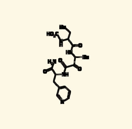 CCC(C)CC(NC(=O)O)C(=O)NC(C(=O)C(=O)NC(Cc1cccnc1)C(N)=O)C(C)CC